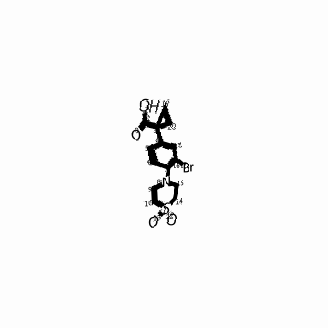 O=C(O)C1(c2ccc(N3CCS(=O)(=O)CC3)c(Br)c2)CC1